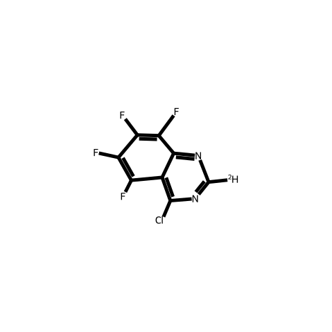 [2H]c1nc(Cl)c2c(F)c(F)c(F)c(F)c2n1